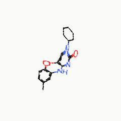 Cc1ccc2c(c1)Nc1nc(=O)n(C3CCCCC3)cc1O2